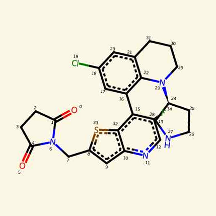 O=C1CCC(=O)N1Cc1cc2ncc(F)c(-c3cc(Cl)cc4c3N([C@H]3CCNC3)CCC4)c2s1